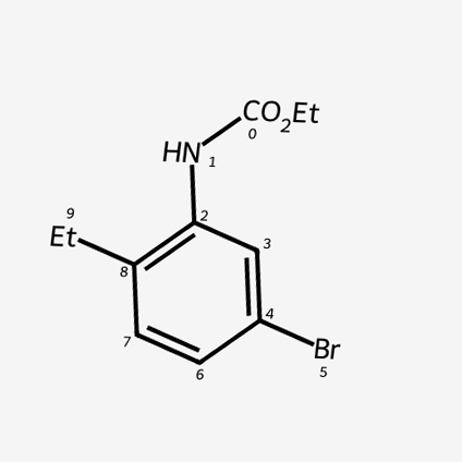 CCOC(=O)Nc1cc(Br)ccc1CC